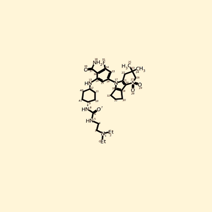 CCN(CC)CCNC(=O)N[C@H]1CC[C@H](Nc2cc(-n3c4c(c5c3CC(C)(C)CS5(=O)=O)CCC4)cc(F)c2C(N)=O)CC1